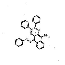 Nc1c(N=Nc2ccccc2)c(N=Nc2ccccc2)c(N=Nc2ccccc2)c2ccccc12